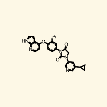 CC(C)c1cc(N2C(=O)CN(c3cncc(C4CC4)c3)C2=O)ccc1Oc1ccnc2[nH]ccc12